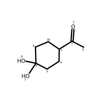 CC(=O)C1CCC(O)(O)CC1